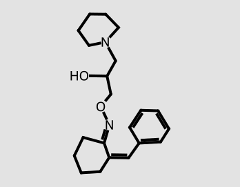 OC(CO/N=C1\CCCC\C1=C\c1ccccc1)CN1CCCCC1